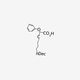 CCCCCCCCCCCCCCCC(Oc1ccccc1)C(=O)O